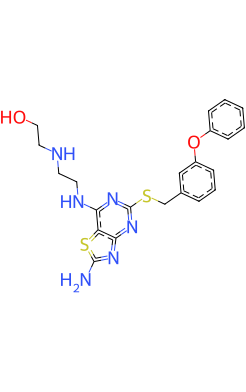 Nc1nc2nc(SCc3cccc(Oc4ccccc4)c3)nc(NCCNCCO)c2s1